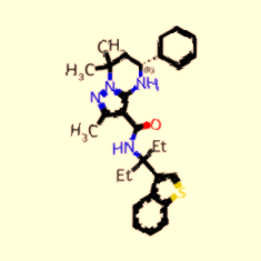 CCC(CC)(NC(=O)c1c(C)nn2c1N[C@@H](C1C=CC=CC1)CC2(C)C)c1csc2ccccc12